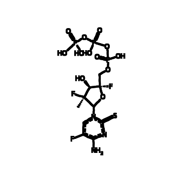 C[C@@]1(F)C(n2cc(F)c(N)nc2=S)O[C@](F)(COP(=O)(O)OP(=O)(O)OP(=O)(O)O)[C@@H]1O